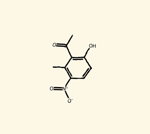 CC(=O)c1c(O)ccc([N+](=O)[O-])c1C